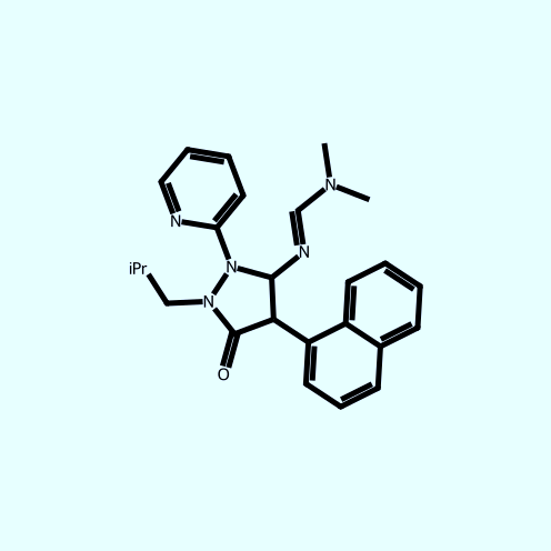 CC(C)CN1C(=O)C(c2cccc3ccccc23)C(N=CN(C)C)N1c1ccccn1